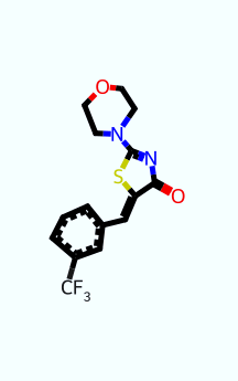 O=C1N=C(N2CCOCC2)SC1=Cc1cccc(C(F)(F)F)c1